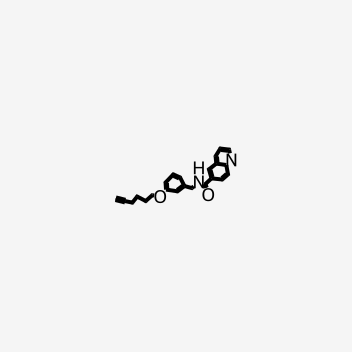 C#CCCCCOc1cccc(CNC(=O)c2ccc3ncccc3c2)c1